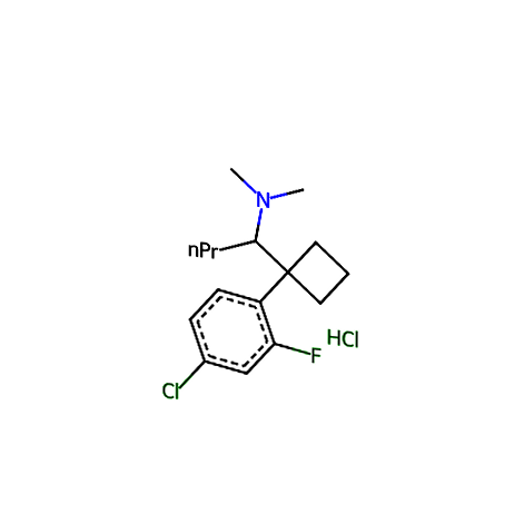 CCCC(N(C)C)C1(c2ccc(Cl)cc2F)CCC1.Cl